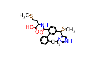 CSCCC(NC(=O)c1ccc(C(SC)c2c[nH]cn2)cc1-c1ccccc1C)C(=O)O